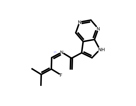 C=C(/N=C\C(F)=C(C)C)c1c[nH]c2ncncc12